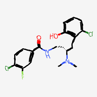 CN(C)[C@H](CNC(=O)c1ccc(Cl)c(F)c1)Cc1c(O)cccc1Cl